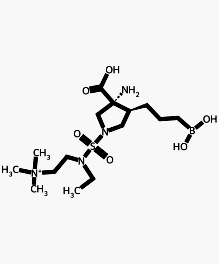 CCN(CC[N+](C)(C)C)S(=O)(=O)N1C[C@H](CCCB(O)O)[C@](N)(C(=O)O)C1